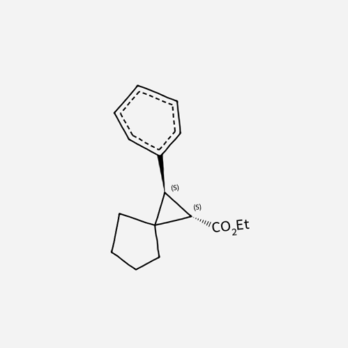 CCOC(=O)[C@H]1[C@H](c2ccccc2)C12CCCC2